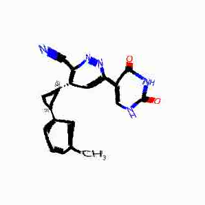 Cc1cccc([C@H]2C[C@@H]2c2cc(-c3c[nH]c(=O)[nH]c3=O)nnc2C#N)c1